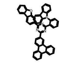 c1ccc(-n2c3ccccc3c3ccccc32)c(-c2nc(-c3ccc4c(c3)oc3ccccc34)nc(-c3ccc4c5ccccc5c5ccccc5c4c3)n2)c1